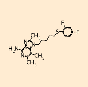 Cc1nc(N)c2nc(C)n(CCCCCSc3ccc(F)cc3F)c2c1C